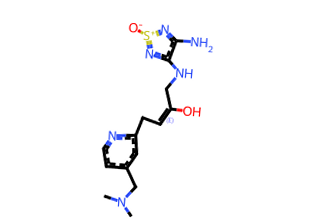 CN(C)Cc1ccnc(C/C=C(/O)CNc2n[s+]([O-])nc2N)c1